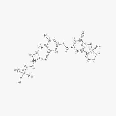 O=c1nc(OCc2cc(F)c(OC3CN(CCC(F)(F)F)C3)c(F)c2)cc2n1C[C@@H]1CCCN21